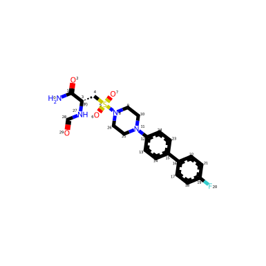 NC(=O)[C@H](CS(=O)(=O)N1CCN(c2ccc(-c3ccc(F)cc3)cc2)CC1)NC=O